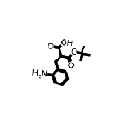 CC(C)(C)OC(=O)C(Cc1ccccc1N)C(=O)O